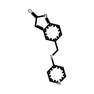 O=C1C=c2cc(CSc3ccncc3)ccc2=N1